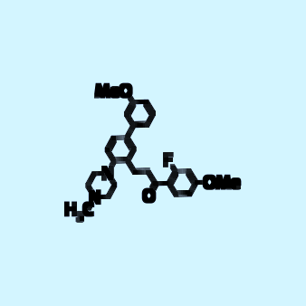 COc1cccc(-c2ccc(N3CCN(C)CC3)c(C=CC(=O)c3ccc(OC)cc3F)c2)c1